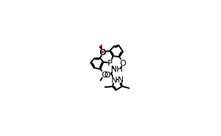 COc1cccc(OC)c1P(NC(=O)n1nc(C)cc1C)c1c(OC)cccc1OC